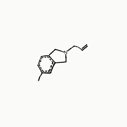 [CH2]c1ccc2c(c1)CN(CC=C)C2